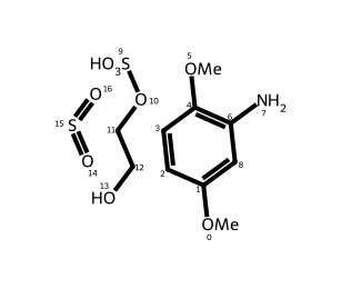 COc1ccc(OC)c(N)c1.O=S(=O)(O)OCCO.O=S=O